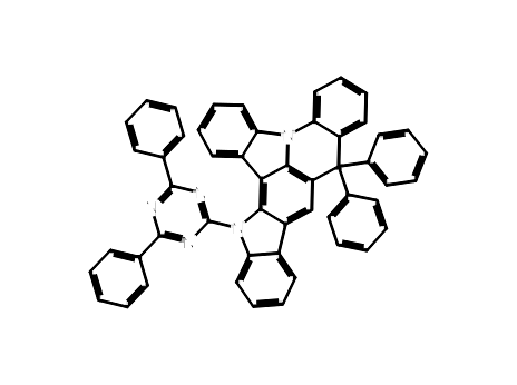 c1ccc(-c2nc(-c3ccccc3)nc(-n3c4ccccc4c4cc5c6c(c7ccccc7n6-c6ccccc6C5(c5ccccc5)c5ccccc5)c43)n2)cc1